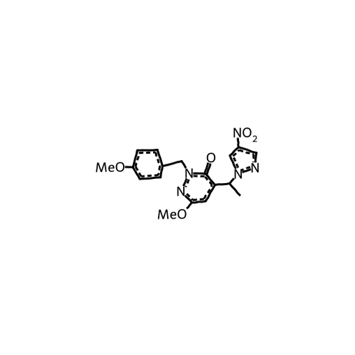 COc1ccc(Cn2nc(OC)cc(C(C)n3cc([N+](=O)[O-])cn3)c2=O)cc1